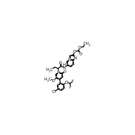 CCOC(=O)Oc1cn2cc(NC(=O)C(CC)n3cc(OC)c(-c4cc(Cl)ccc4OC(F)F)cc3=O)ccc2n1